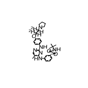 [2H]C([2H])(Oc1ccc(Nc2ncc(C)c(Nc3cccc(S(=O)(=O)NC(C)(C)C)c3)n2)cc1)C([2H])([2H])N1CCCC1